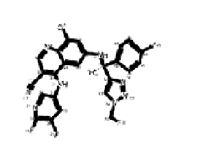 [2H][C@](Nc1cc(Cl)c2ncc(C#N)c(Nc3cnc(F)c(F)c3)c2c1)(c1ccc(F)cc1)c1cn(CF)nn1